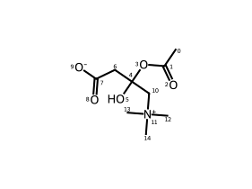 CC(=O)OC(O)(CC(=O)[O-])C[N+](C)(C)C